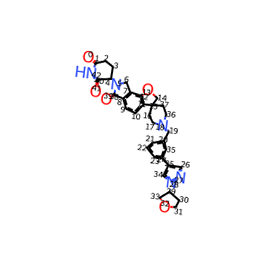 O=C1CC[C@H](N2Cc3c(ccc4c3OCC43CCN(Cc4cccc(-c5cnn([C@@H]6CCOC6)c5)c4)CC3)C2=O)C(=O)N1